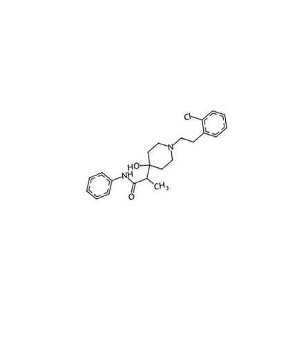 CC(C(=O)Nc1ccccc1)C1(O)CCN(CCc2ccccc2Cl)CC1